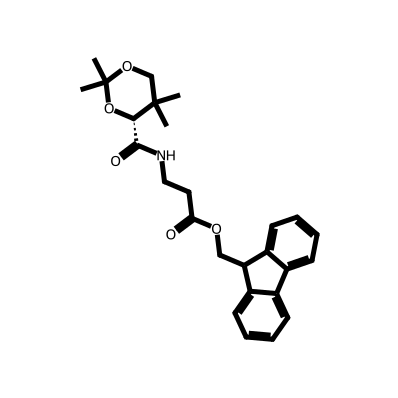 CC1(C)OCC(C)(C)[C@H](C(=O)NCCC(=O)OCC2c3ccccc3-c3ccccc32)O1